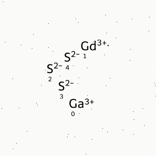 [Ga+3].[Gd+3].[S-2].[S-2].[S-2]